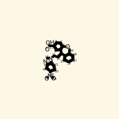 O=C(O)c1ccc2c(c1)C(=CCn1cnc3cc([N+](=O)[O-])ccc31)c1ccccc1CO2